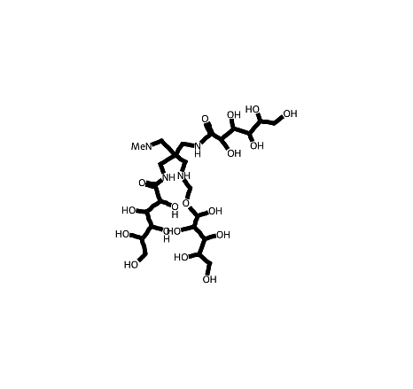 CNCC(CNCOC(O)C(O)C(O)C(O)CO)(CNC(=O)C(O)C(O)C(O)C(O)CO)CNC(=O)C(O)C(O)C(O)C(O)CO